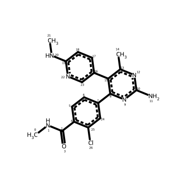 CNC(=O)c1ccc(-c2nc(N)nc(C)c2-c2ccc(NC)nc2)cc1Cl